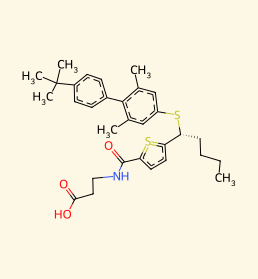 CCCC[C@@H](Sc1cc(C)c(-c2ccc(C(C)(C)C)cc2)c(C)c1)c1ccc(C(=O)NCCC(=O)O)s1